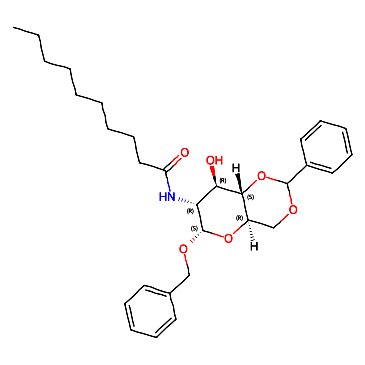 CCCCCCCCCC(=O)N[C@H]1[C@@H](OCc2ccccc2)O[C@@H]2COC(c3ccccc3)O[C@H]2[C@@H]1O